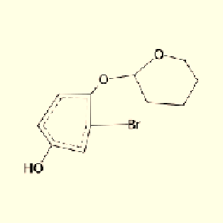 Oc1ccc(OC2CCCCO2)c(Br)c1